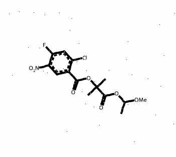 COC(C)OC(=O)C(C)(C)OC(=O)c1cc([N+](=O)[O-])c(F)cc1Cl